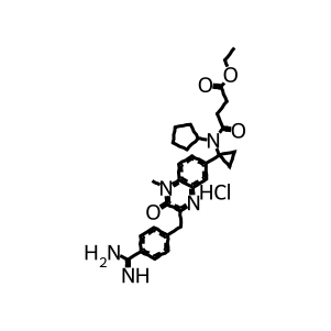 CCOC(=O)CCC(=O)N(C1CCCC1)C1(c2ccc3c(c2)nc(Cc2ccc(C(=N)N)cc2)c(=O)n3C)CC1.Cl